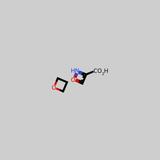 C1COC1.O=C(O)c1co[nH]1